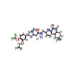 CC(=O)N1CC(c2ccc(OC(F)F)c(OCC(F)F)c2)C[C@@H]1[C@@H](C)C(=O)NCc1cccc(C(=O)N(C)C2CCC(F)(F)CC2)n1